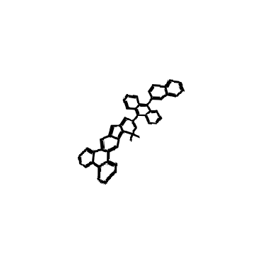 CC1(C)C=C(c2c3ccccc3c(-c3ccc4ccccc4c3)c3ccccc23)C=C2C=c3cc4c5ccccc5c5ccccc5c4cc3=C21